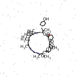 C=C1[C@H](C)C[C@H](C)/C=C/C=C/C=C(\C)[C@@H](OC)C[C@@H]2CC[C@@H](C)[C@@](O)(O2)C(=O)C(=O)N2CCCC[C@H]2C(=O)O[C@H]([C@H](C)C[C@H]2CC[C@H](O)CC2)C/C=C(\C)[C@@H](O)[C@H]1O